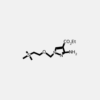 CCOC(=O)c1cn(COCC[Si](C)(C)C)nc1N